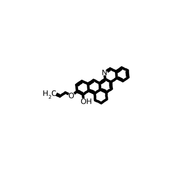 C=CCOc1ccc2cc3c4c(cc5c6ccccc6cnc35)CCCc4c2c1O